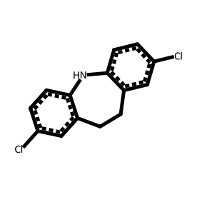 Clc1ccc2c(c1)CCc1cc(Cl)ccc1N2